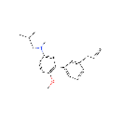 C=CCc1cccc(-c2cc(N(C)C[C](C)C)ccc2OC)c1